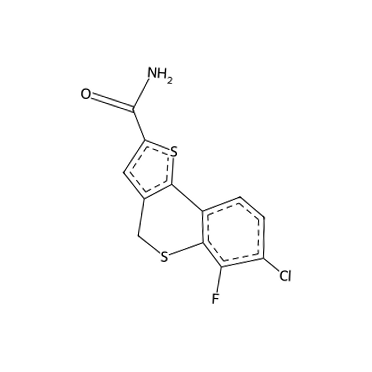 NC(=O)c1cc2c(s1)-c1ccc(Cl)c(F)c1SC2